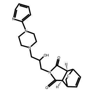 O=C1[C@@H]2C3C=CC(CC3)[C@@H]2C(=O)N1CC(O)CN1CCN(c2ccccn2)CC1